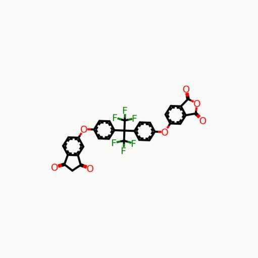 O=C1CC(=O)c2cc(Oc3ccc(C(c4ccc(Oc5ccc6c(c5)C(=O)OC6=O)cc4)(C(F)(F)F)C(F)(F)F)cc3)ccc21